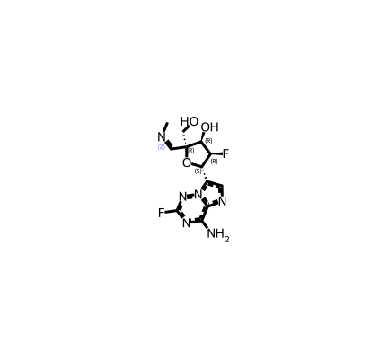 C/N=C\[C@]1(CO)O[C@@H](c2cnc3c(N)nc(F)nn23)[C@H](F)[C@@H]1O